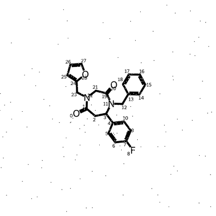 O=C1CC(c2ccc(F)cc2)N(Cc2ccccc2)C(=O)CN1Cc1ccco1